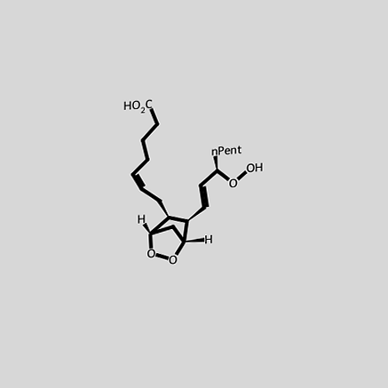 CCCCC[C@H](/C=C/[C@@H]1[C@H](C/C=C\CCCC(=O)O)[C@@H]2C[C@H]1OO2)OO